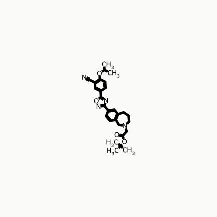 CC(C)Oc1ccc(-c2nc(-c3ccc4c(c3)CCCN(CC(=O)OC(C)(C)C)C4)no2)cc1C#N